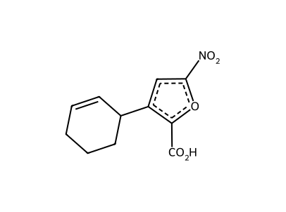 O=C(O)c1oc([N+](=O)[O-])cc1C1C=CCCC1